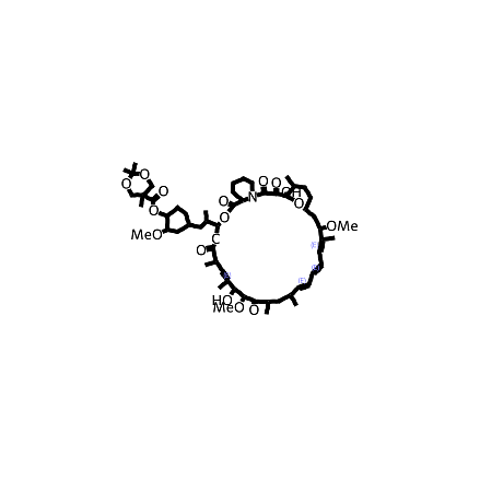 COC1CC2CCC(C)C(O)(O2)C(=O)C(=O)N2CCCCC2C(=O)OC(C(C)CC2CCC(OC(=O)C3(C)COC(C)(C)OC3)C(OC)C2)CC(=O)C(C)/C=C(\C)C(O)C(OC)C(=O)C(C)CC(C)/C=C/C=C/C=C/1C